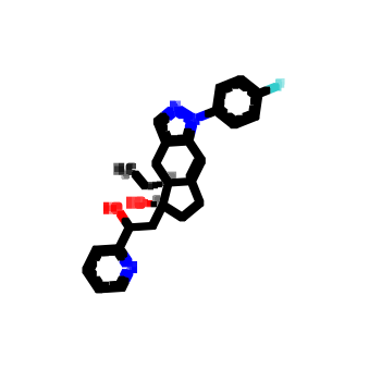 CC[C@]12Cc3cnn(-c4ccc(F)cc4)c3C=C1CC[C@@]2(O)CC(O)c1ccccn1